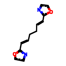 C(=Cc1ncco1)CCC=Cc1ncco1